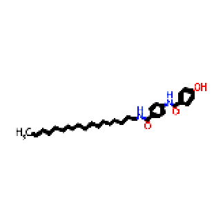 CCCCCCCCCCCCCCCCCCNC(=O)c1ccc(NC(=O)c2ccc(O)cc2)cc1